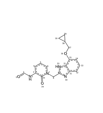 O=CNc1cccn(Cc2nc3cccc(OCC4CC4)c3[nH]2)c1=O